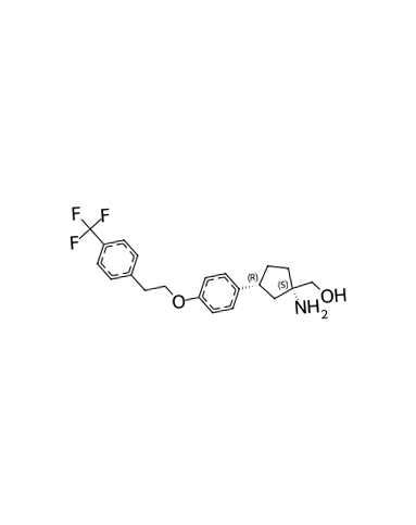 N[C@@]1(CO)CC[C@@H](c2ccc(OCCc3ccc(C(F)(F)F)cc3)cc2)C1